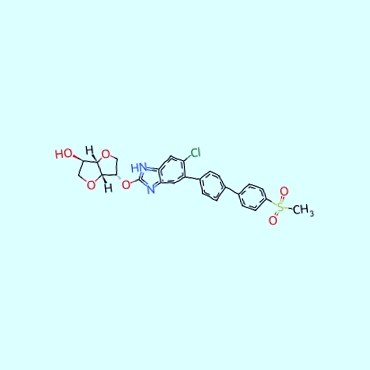 CS(=O)(=O)c1ccc(-c2ccc(-c3cc4nc(O[C@H]5CO[C@@H]6[C@H]5OC[C@H]6O)[nH]c4cc3Cl)cc2)cc1